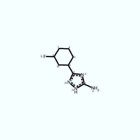 Nc1nc(C2CCCC(F)C2)n[nH]1